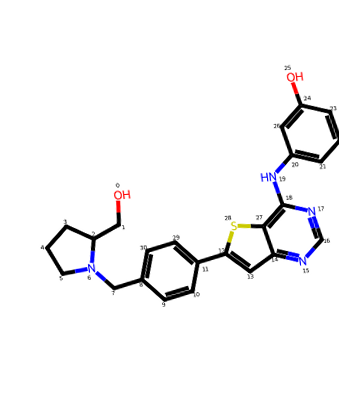 OCC1CCCN1Cc1ccc(-c2cc3ncnc(Nc4cccc(O)c4)c3s2)cc1